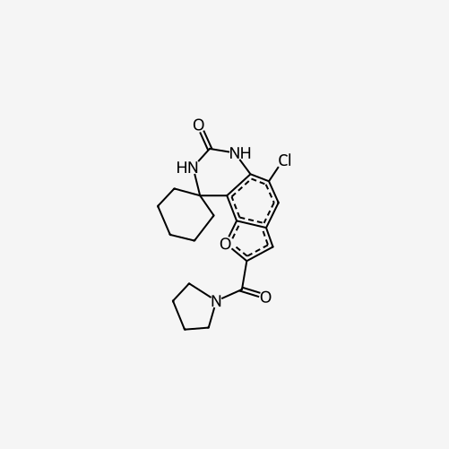 O=C1Nc2c(Cl)cc3cc(C(=O)N4CCCC4)oc3c2C2(CCCCC2)N1